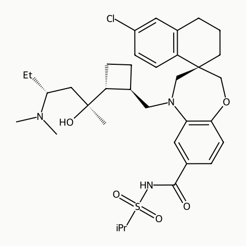 CC[C@H](C[C@](C)(O)[C@@H]1CC[C@H]1CN1C[C@@]2(CCCc3cc(Cl)ccc32)COc2ccc(C(=O)NS(=O)(=O)C(C)C)cc21)N(C)C